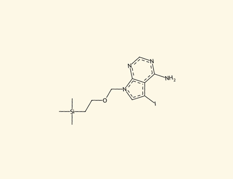 C[Si](C)(C)CCOCn1cc(I)c2c(N)ncnc21